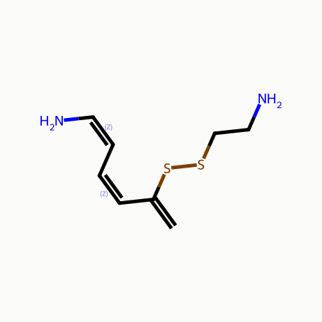 C=C(/C=C\C=C/N)SSCCN